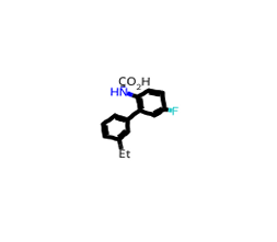 CCc1cccc(-c2cc(F)ccc2NC(=O)O)c1